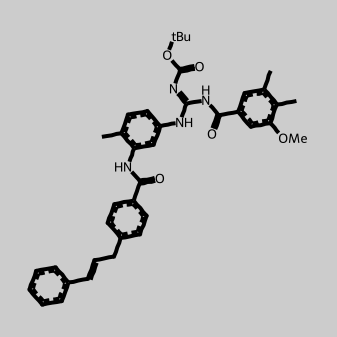 COc1cc(C(=O)N/C(=N\C(=O)OC(C)(C)C)Nc2ccc(C)c(NC(=O)c3ccc(C/C=C/c4ccccc4)cc3)c2)cc(C)c1C